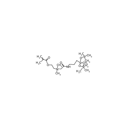 C=C(C)C(=O)OCC[N+](C)(C)CC(=O)NCCC[Si](C)(O[Si](C)(C)C)O[Si](C)(C)C